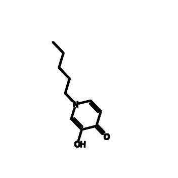 CCCCCn1ccc(=O)c(O)c1